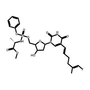 COC(=O)[C@H](C)NP(=O)(OCC1OC(n2cc(/C=C/CCC(C)=CF)c(=O)[nH]c2=O)CC1O)Oc1ccccc1